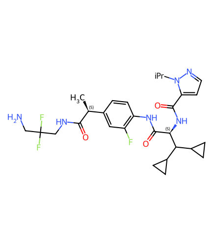 CC(C)n1nccc1C(=O)N[C@H](C(=O)Nc1ccc([C@H](C)C(=O)NCC(F)(F)CN)cc1F)C(C1CC1)C1CC1